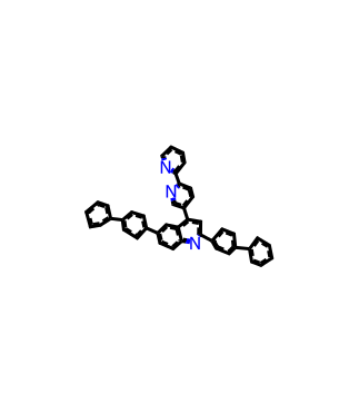 c1ccc(-c2ccc(-c3ccc4nc(-c5ccc(-c6ccccc6)cc5)cc(-c5ccc(-c6ccccn6)nc5)c4c3)cc2)cc1